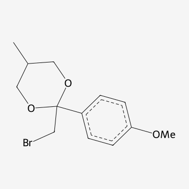 COc1ccc(C2(CBr)OCC(C)CO2)cc1